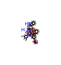 Cc1cc(C)cc(C(=O)N(C)[C@@H](Cc2ccc(-c3ccno3)cc2)C(=O)N([C@@H](Cc2c[nH]c3ccccc23)C(N)=O)S(=O)(=O)c2ccccc2[N+](=O)[O-])c1